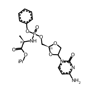 CC(C)OC(=O)[C@@H](C)NP(=O)(OC[C@H]1OCC(n2ccc(N)nc2=O)O1)Oc1ccccc1